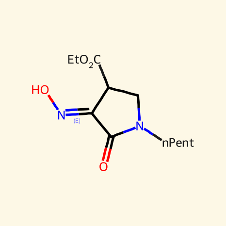 CCCCCN1CC(C(=O)OCC)/C(=N\O)C1=O